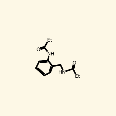 CCC(=O)NCc1ccccc1NC(=O)CC